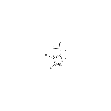 Cc1nsc(C(C)(C)C)c1I